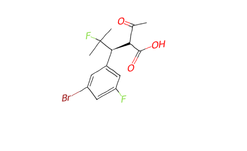 CC(=O)C(C(=O)O)[C@@H](c1cc(F)cc(Br)c1)C(C)(C)F